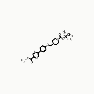 COC(=O)c1cnc(-c2ccc(OCC3CCN(C(=O)OC(C)(C)C)CC3)cc2)cn1